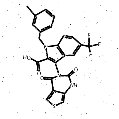 Cc1cccc(Cn2c(C(=O)O)c(-n3c(=O)[nH]c4cscc4c3=O)c3cc(C(F)(F)F)ccc32)c1